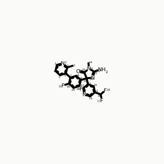 Cc1ncccc1-c1cc(C2(c3cncc(C(F)F)c3)N=C(N)N(C)C2=O)c(F)cc1F